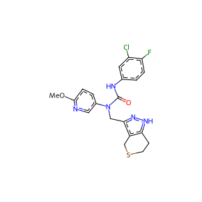 COc1ccc(N(Cc2n[nH]c3c2CSCC3)C(=O)Nc2ccc(F)c(Cl)c2)cn1